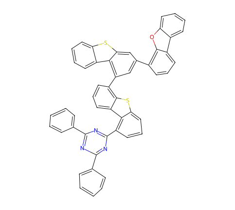 c1ccc(-c2nc(-c3ccccc3)nc(-c3cccc4sc5c(-c6cc(-c7cccc8c7oc7ccccc78)cc7sc8ccccc8c67)cccc5c34)n2)cc1